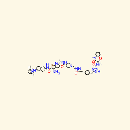 CC(NC(=O)C1CCN(CCNC(=O)C#Cc2ccc(Cc3nc(C(=O)N[C@H]4COc5ccccc5N(C)C4=O)n[nH]3)cc2)CC1)c1ccc2c(N)c(C(=O)N[C@H]3CCc4cc(N5C[C@H]6CC[C@@H](C5)N6)ccc4C3)sc2n1